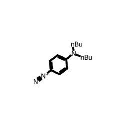 CCCCN(CCCC)c1ccc([N+]#N)cc1